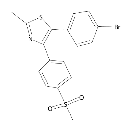 Cc1nc(-c2ccc(S(C)(=O)=O)cc2)c(-c2ccc(Br)cc2)s1